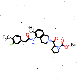 Cc1ccc2c(c1NC(=O)Cc1ccc(C(F)(F)F)c(F)c1)CCN(C(=O)C1CCCN1C(=O)OC(C)(C)C)C2